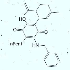 C=C(C)C1CCC(C)=CC1C1=C(O)C(=O)C(CCCCC)=C(NCc2ccccc2)C1=O